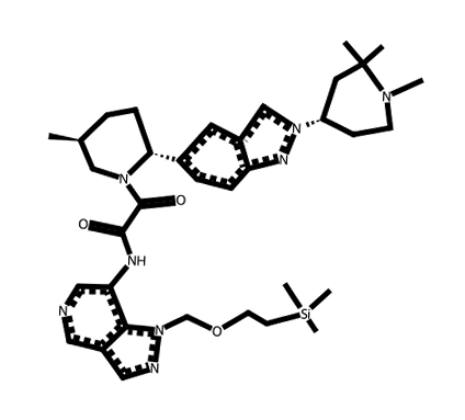 C[C@H]1CC[C@H](c2ccc3nn([C@H]4CCN(C)C(C)(C)C4)cc3c2)N(C(=O)C(=O)Nc2cncc3cnn(COCC[Si](C)(C)C)c23)C1